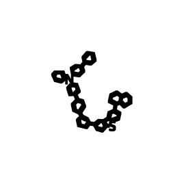 c1ccc(-c2ccc(N(c3ccccc3)c3ccc(-c4ccc(-c5cccc(-c6ccc7sc8ccc(-c9cccc%10ccccc9%10)cc8c7c6)c5)cc4)cc3)cc2)cc1